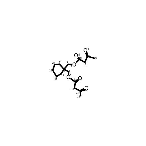 CC(=O)CC(=O)OCC1(COC(=O)CC(C)=O)CCCCC1